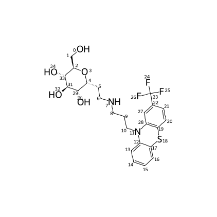 OC[C@H]1O[C@H](CCNCCCN2c3ccccc3Sc3ccc(C(F)(F)F)cc32)[C@H](O)[C@@H](O)[C@@H]1O